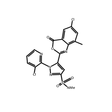 CNS(=O)(=O)c1cc(-c2nc3c(C)cc(Cl)cc3c(=O)o2)n(-c2ncccc2Cl)n1